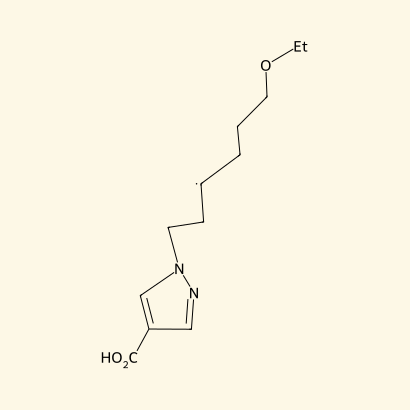 CCOCCC[CH]CCn1cc(C(=O)O)cn1